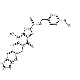 COc1ccc(CNC(=O)c2cc3c(=O)n(Cc4ccc5nonc5c4)c(=O)n(C)c3s2)cc1